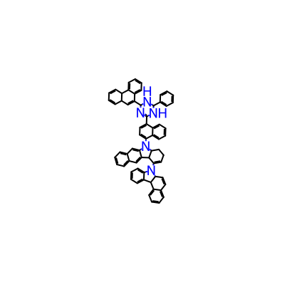 C1=CC2C=C(C3N=C(c4ccc(N5c6cc7ccccc7cc6C6C(N7c8ccccc8C8c9ccccc9C=CC87)=CCCC65)c5ccccc45)NC(c4ccccc4)N3)c3ccccc3C2C=C1